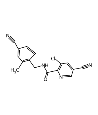 Cc1cc(C#N)ccc1CNC(=O)c1ncc(C#N)cc1Cl